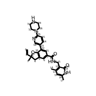 C=CC1(C)Cc2cc(C(=O)NCc3c(C)cc(C)[nH]c3=O)cc(-c3ccc(N4CCNCC4)nc3)c2O1